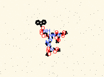 CC(C)(C)OC(=O)CN(CC(=O)OC(C)(C)C)C(=O)Cn1ccnc1CN(CCCCC(NC(=O)OCC1c2ccccc2-c2ccccc21)C(=O)O)Cc1nccn1CC(=O)N(CC(=O)OC(C)(C)C)CC(=O)OC(C)(C)C